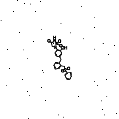 O=C1CN(c2ccc(Cc3ccccc3CS(=O)(=O)c3ccccc3)cc2O)S(=O)(=O)N1